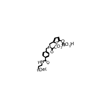 CCCCCCCCCCCCNC(=O)c1ccc(CN(Cc2ccc(OC(=O)O)s2)C(=O)C(=O)O)cc1